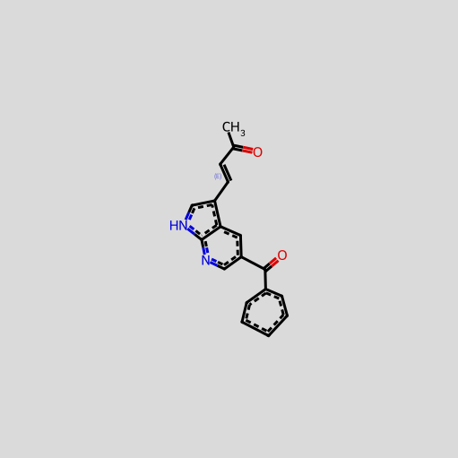 CC(=O)/C=C/c1c[nH]c2ncc(C(=O)c3ccccc3)cc12